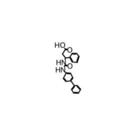 O=C(O)CC(NC(=O)Nc1ccc(-c2ccccc2)cc1)c1ccccc1